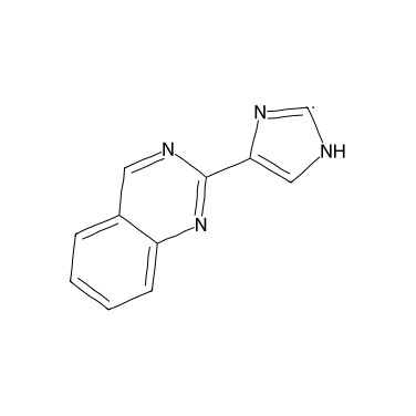 [c]1nc(-c2ncc3ccccc3n2)c[nH]1